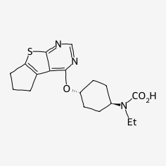 CCN(C(=O)O)[C@H]1CC[C@H](Oc2ncnc3sc4c(c23)CCC4)CC1